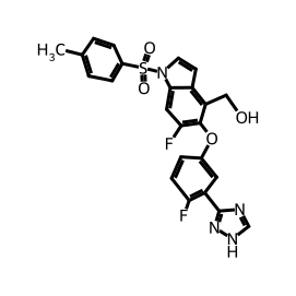 Cc1ccc(S(=O)(=O)n2ccc3c(CO)c(Oc4ccc(F)c(-c5nc[nH]n5)c4)c(F)cc32)cc1